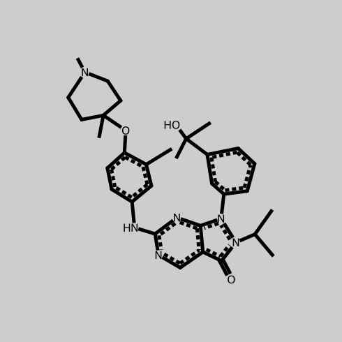 Cc1cc(Nc2ncc3c(=O)n(C(C)C)n(-c4cccc(C(C)(C)O)c4)c3n2)ccc1OC1(C)CCN(C)CC1